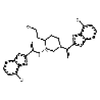 O=C(N[C@H]1CN(C(=O)c2cc3cccc(Cl)c3s2)CCC1CCCl)c1cc2cccc(Cl)c2s1